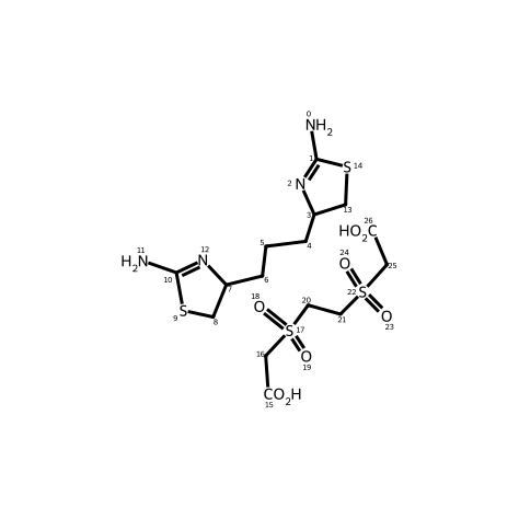 NC1=NC(CCCC2CSC(N)=N2)CS1.O=C(O)CS(=O)(=O)CCS(=O)(=O)CC(=O)O